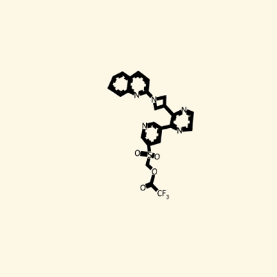 O=C(OCS(=O)(=O)c1cncc(-c2nccnc2C2CN(c3ccc4ccccc4n3)C2)c1)C(F)(F)F